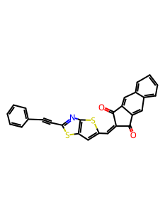 O=C1C(=Cc2cc3sc(C#Cc4ccccc4)nc3s2)C(=O)c2cc3ccccc3cc21